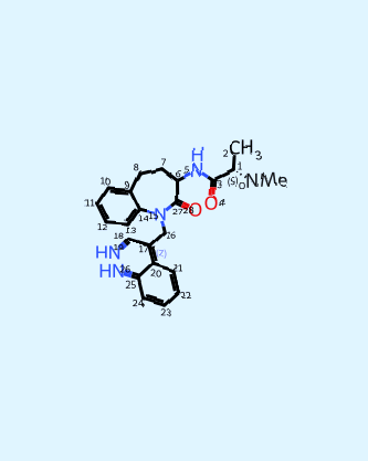 CN[C@@H](C)C(=O)NC1CCc2ccccc2N(C/C(C=N)=C2\C=CC=CC2=N)C1=O